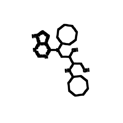 OCC(NC1CCCCCCC1)C(O)CN(c1ncnc2[nH]ccc12)C1CCCCCCC1